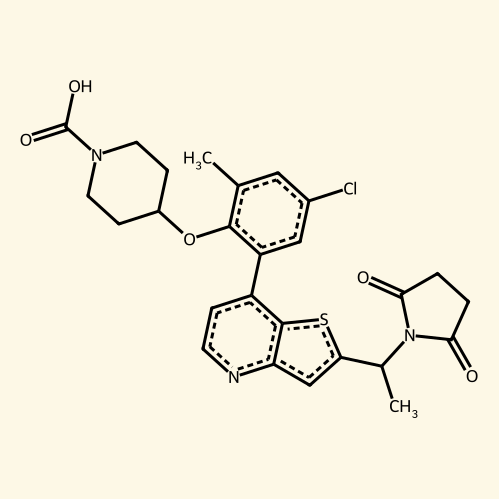 Cc1cc(Cl)cc(-c2ccnc3cc(C(C)N4C(=O)CCC4=O)sc23)c1OC1CCN(C(=O)O)CC1